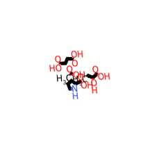 CC(=O)O.CCC(O)C(=O)O.O=C(O)C1CCCN1.O=C(O)CCC(=O)O